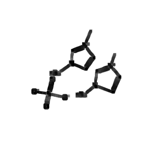 CCCCn1cc[n+](C)c1.CCCCn1cc[n+](C)c1.O=S(=O)([O-])[O-]